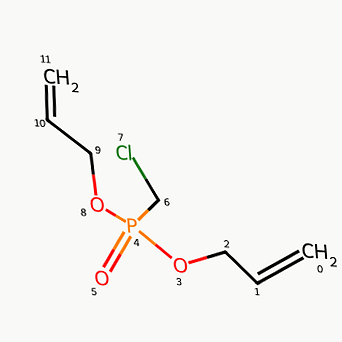 C=CCOP(=O)(CCl)OCC=C